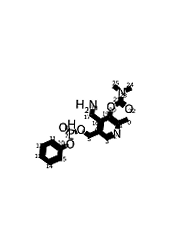 Cc1ncc(CO[PH](=O)Oc2ccccc2)c(CN)c1OC(=O)N(C)C